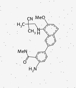 CNC(=O)c1cc(-c2ccc3ccc(OC)c(NCC(C)(C)C#N)c3c2)ccc1N